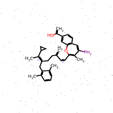 C=C(/C=C\C1=C(C)C(P)=Cc2ccc(C(=C)O)cc2O1)CC/C(Cc1c(C)cccc1C)=C(/C)C1CC1